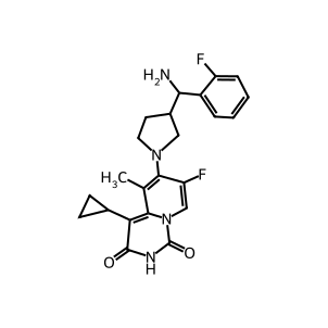 Cc1c(N2CCC(C(N)c3ccccc3F)C2)c(F)cn2c(=O)[nH]c(=O)c(C3CC3)c12